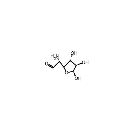 N[C@@H](C=O)C1O[C@H](O)[C@H](O)[C@H]1O